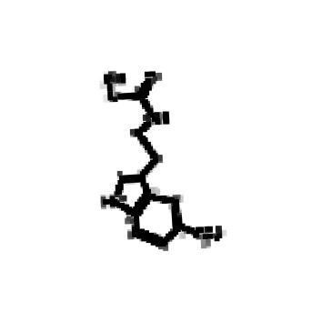 CC(C)(C)OC(=O)NCCc1c[nH]c2ccc(C(=O)O)cc12